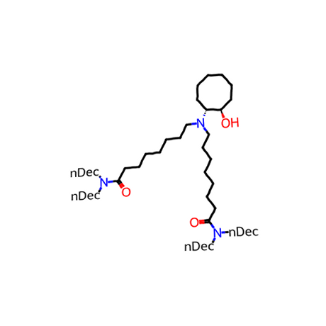 CCCCCCCCCCN(CCCCCCCCCC)C(=O)CCCCCCCN(CCCCCCCC(=O)N(CCCCCCCCCC)CCCCCCCCCC)[C@@H]1CCCCCC[C@H]1O